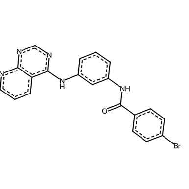 O=C(Nc1cccc(Nc2ncnc3ncccc23)c1)c1ccc(Br)cc1